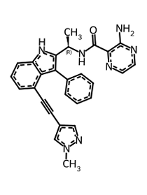 C[C@@H](NC(=O)c1nccnc1N)c1[nH]c2cccc(C#Cc3cnn(C)c3)c2c1-c1ccccc1